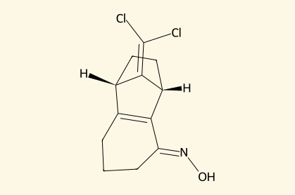 ON=C1CCCC2=C1[C@H]1CC[C@@H]2C1=C(Cl)Cl